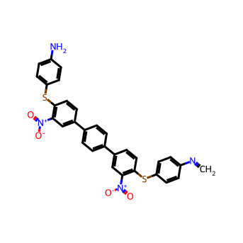 C=Nc1ccc(Sc2ccc(-c3ccc(-c4ccc(Sc5ccc(N)cc5)c([N+](=O)[O-])c4)cc3)cc2[N+](=O)[O-])cc1